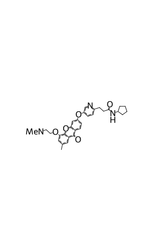 CNCCOc1cc(C)cc2c(=O)c3ccc(Oc4ccc(CCC(=O)NC5CCCC5)nc4)cc3oc12